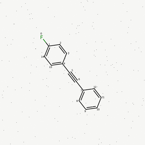 Fc1ccc(C#Cc2ccccc2)cc1